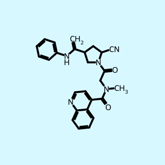 C=C(Nc1ccccc1)C1CC(C#N)N(C(=O)CN(C)C(=O)c2ccnc3ccccc23)C1